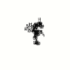 CC[C@H](C)[C@@H]([C@H](CC(=O)N1CCC[C@H]1[C@H](OC)[C@@H](C)C(=O)N[C@@H](Cc1ccccc1)c1nn[nH]n1)OC)N(C)C(=O)[C@@H](N=C(N(C)C)N1CCN(C(=O)CCCCCN2C(=O)C=CC2=O)CC1)C(C)C